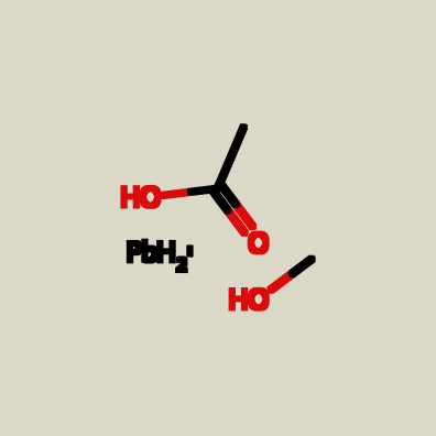 CC(=O)O.CO.[PbH2]